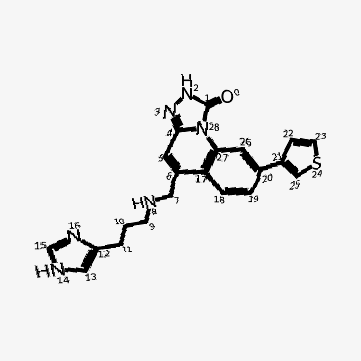 O=c1[nH]nc2cc(CNCCCc3c[nH]cn3)c3ccc(-c4ccsc4)cc3n12